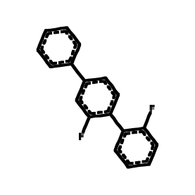 Fc1ccccc1-c1ccc(-c2ccccc2)cc1F